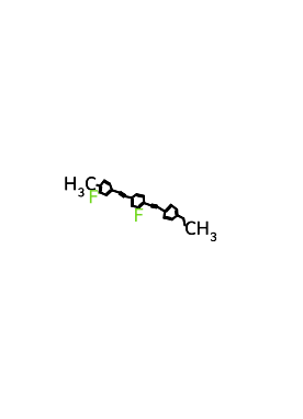 CCCc1ccc(C#Cc2ccc(C#Cc3ccc(C)c(F)c3)cc2F)cc1